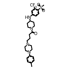 Cc1ccc(N2CCN(CCCC(=O)N3CCC(Nc4ccc(S(C)(=O)=O)c(C(F)(F)F)c4)CC3)CC2)cc1